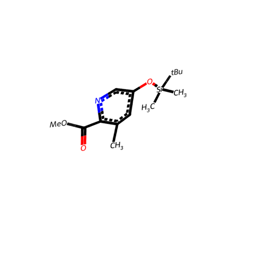 COC(=O)c1ncc(O[Si](C)(C)C(C)(C)C)cc1C